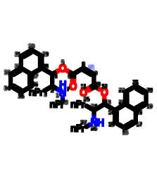 CCCNC(CCC)C(OC(=O)/C=C\C(=O)OC(c1cccc2ccccc12)C(CCC)NCCC)c1cccc2ccccc12